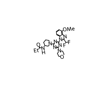 CCC(=O)N[C@H]1CCCN(c2nc(N3CCOCC3)nc(-n3c(C(F)F)nc4c(OC)cccc43)n2)C1